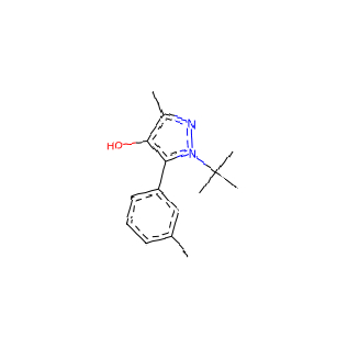 Cc1cccc(-c2c(O)c(C)nn2C(C)(C)C)c1